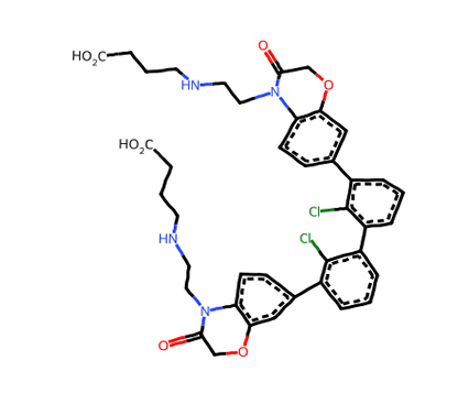 O=C(O)CCCNCCN1C(=O)COc2cc(-c3cccc(-c4cccc(-c5ccc6c(c5)OCC(=O)N6CCNCCCC(=O)O)c4Cl)c3Cl)ccc21